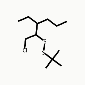 CCCC(CC)C(CCl)SSC(C)(C)C